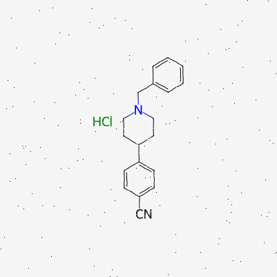 Cl.N#Cc1ccc(C2CCN(Cc3ccccc3)CC2)cc1